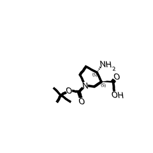 CC(C)(C)OC(=O)N1CC[C@H](N)[C@@H](C(=O)O)C1